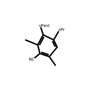 CCCCCc1c(CCC)cc(C)c(C#N)c1C